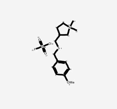 COc1ccc(CSCC2CC[N+](C)(C)C2)cc1.O=S(=O)([O-])F